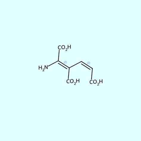 N/C(C(=O)O)=C(/C=C\C(=O)O)C(=O)O